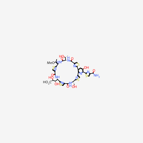 CO/C(C)=C1/NC(=O)[C@H]([C@@H](C)O)NC(=O)c2csc(n2)-c2cc(O)c(-c3nc(C(N)=O)cs3)nc2-c2csc(n2)[C@H](CO)NC(=O)c2csc(n2)[C@H]([C@H](O)[C@H](O)C(=O)O)NC(=O)c2csc1n2